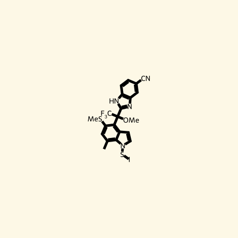 COC(c1nc2cc(C#N)ccc2[nH]1)(c1c(SC)cc(C)c2c1ccn2SI)C(F)(F)F